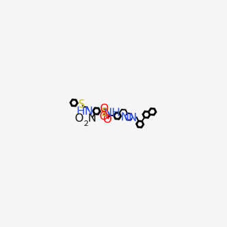 O=C(NS(=O)(=O)c1ccc(NCCSc2ccccc2)c([N+](=O)[O-])c1)c1ccc2c(c1)CCC1CN(Cc3ccccc3-c3ccc4ccccc4c3)CCN21